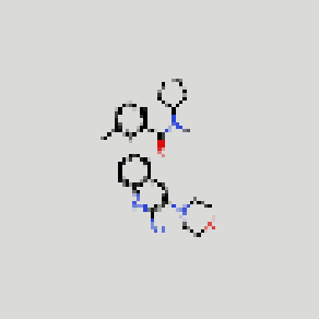 Cc1cccc(C(=O)N(C)C2CCCC2)c1-c1ccc2nc(N)c(N3CCOCC3)cc2c1